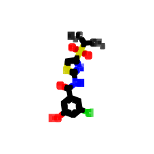 CC(C)S(=O)(=O)c1csc(NC(=O)c2cc(O)cc(Cl)c2)n1